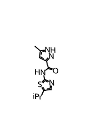 Cc1cc(C(=O)Nc2ncc(C(C)C)s2)n[nH]1